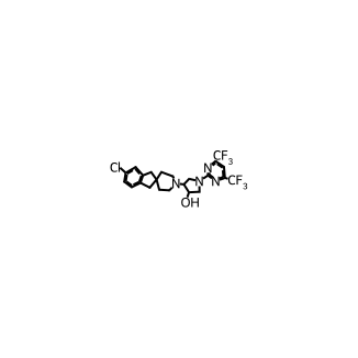 OC1CN(c2nc(C(F)(F)F)cc(C(F)(F)F)n2)CC1N1CCC2(CC1)Cc1ccc(Cl)cc1C2